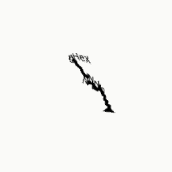 CCCCCCOCCCCc1cnc(-c2ccc(OCCCCCCC3CC3)cn2)cn1